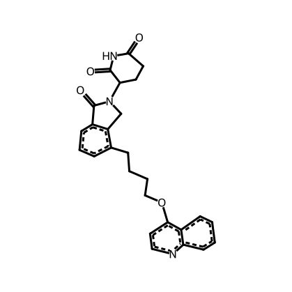 O=C1CCC(N2Cc3c(CCCCOc4ccnc5ccccc45)cccc3C2=O)C(=O)N1